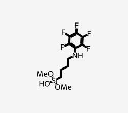 CO[Si](O)(CCCCNc1c(F)c(F)c(F)c(F)c1F)OC